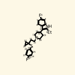 CCc1[nH]c2cc(F)ccc2c1C1=CCN(CCC2(Sc3ccc(F)cc3)CC2)CC1